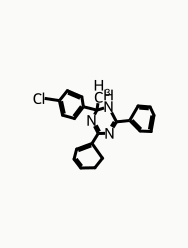 CC1(c2ccc(Cl)cc2)N=C(C2=CC=CCC2)N=C(c2ccccc2)N1